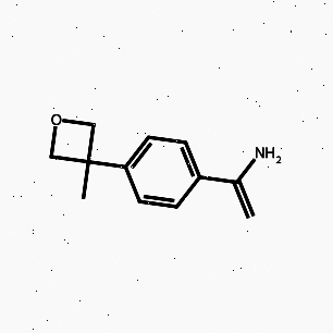 C=C(N)c1ccc(C2(C)COC2)cc1